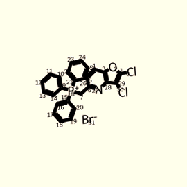 Clc1oc2ccc(C[P+](c3ccccc3)(c3ccccc3)c3ccccc3)nc2c1Cl.[Br-]